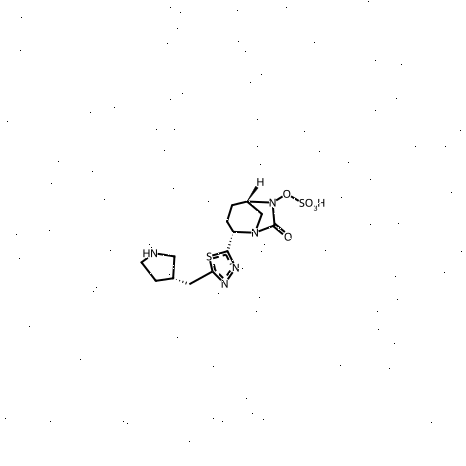 O=C1N2C[C@H](CC[C@H]2c2nnc(C[C@@H]3CCNC3)s2)N1OS(=O)(=O)O